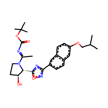 C/C(=N\C(=O)OC(C)(C)C)N1CC[C@H](O)[C@H]1c1nc(-c2ccc3cc(OCC(C)C)ccc3c2)no1